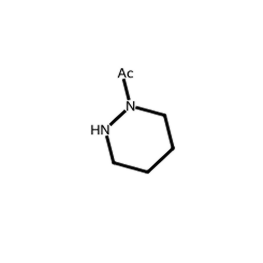 [CH2]C(=O)N1CCCCN1